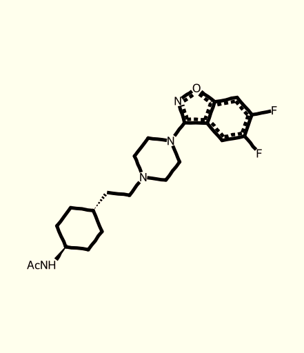 CC(=O)N[C@H]1CC[C@H](CCN2CCN(c3noc4cc(F)c(F)cc34)CC2)CC1